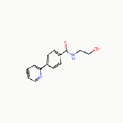 O=C(NCCO)c1ccc(-c2cc[c]cn2)cc1